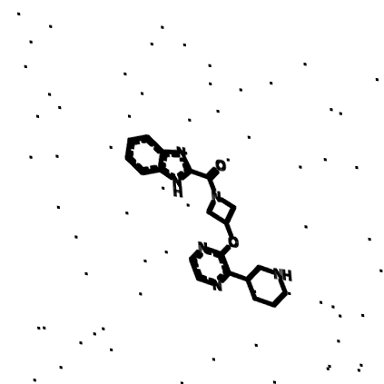 O=C(c1nc2ccccc2[nH]1)N1CC(Oc2nccnc2C2CCCNC2)C1